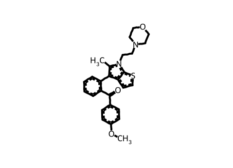 COc1ccc(C(=O)c2ccccc2-c2c(C)n(CCN3CCOCC3)c3sccc23)cc1